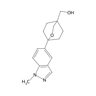 Cn1ncc2cc(C34CCC(CO)(CC3)CO4)ccc21